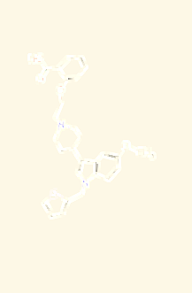 COc1ccc2c(c1)c(C1CCN(CCOc3ccccc3C(=O)O)CC1)cn2Cc1cccs1